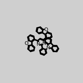 c1ccc(-n2c3ccccc3c3ccccc32)c(-c2nc(-c3cccc4oc5ccccc5c34)cc(-c3cccc4oc5ccccc5c34)n2)c1